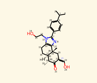 CC(C)c1ccc(-c2nc3c(n2CCO)CC[C@@H]2[C@@H](C)C(=O)/C(=C\O)C[C@@]32C)cc1